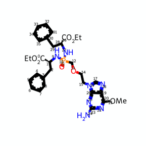 CCOC(=O)[C@H](Cc1ccccc1)NP(=O)(COCCn1cnc2c(OC)nc(N)nc21)N[C@@H](Cc1ccccc1)C(=O)OCC